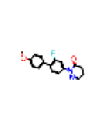 COc1ccc(-c2ccc(N3N=CCCC3=O)cc2F)cc1